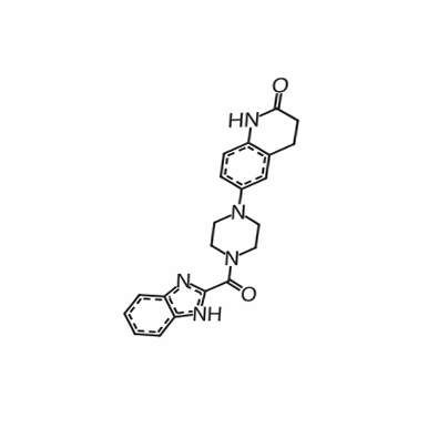 O=C1CCc2cc(N3CCN(C(=O)c4nc5ccccc5[nH]4)CC3)ccc2N1